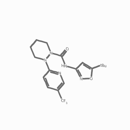 CC(C)(C)c1cc(NC(=O)N2CCCCN2c2ccc(C(F)(F)F)cn2)no1